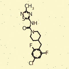 Cc1nsc(NC(=O)N2CCC(Cc3c(F)cc(Cl)cc3F)CC2)n1